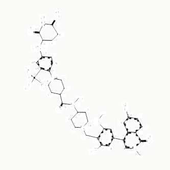 COc1cc(-c2cn(C)c(=O)c3ccc(F)cc23)cc(F)c1CN1CCC(N(C)C(=O)C2CCN(c3ccc(NC4CCC(=O)NC4=O)cc3C(F)(F)F)CC2)CC1